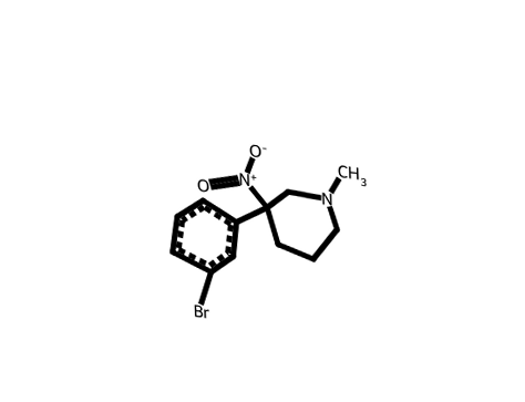 CN1CCCC(c2cccc(Br)c2)([N+](=O)[O-])C1